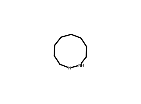 C1CCCCN[N]CCC1